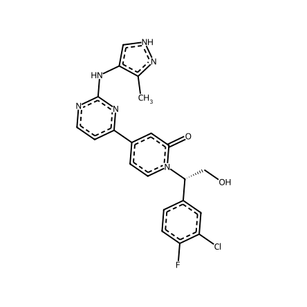 Cc1n[nH]cc1Nc1nccc(-c2ccn([C@H](CO)c3ccc(F)c(Cl)c3)c(=O)c2)n1